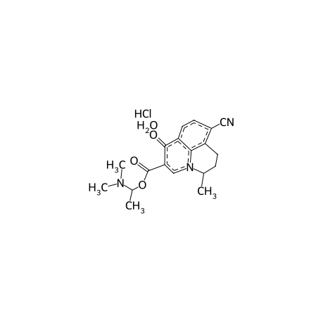 CC(OC(=O)c1cn2c3c(c(C#N)ccc3c1=O)CCC2C)N(C)C.Cl.O